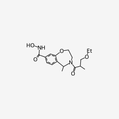 CCOCC(C)C(=O)N1CCOc2cc(C(=O)NO)ccc2C1C